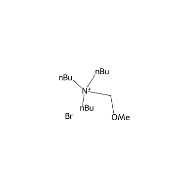 CCCC[N+](CCCC)(CCCC)COC.[Br-]